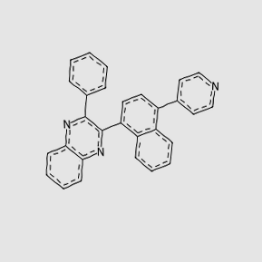 c1ccc(-c2nc3ccccc3nc2-c2ccc(-c3ccncc3)c3ccccc23)cc1